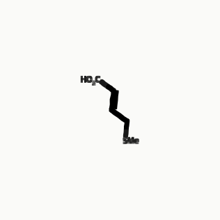 CSC/C=C/C(=O)O